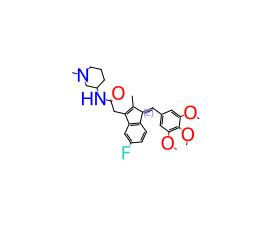 COc1cc(/C=C2/C(C)=C(CC(=O)NC3CCCN(C)C3)c3cc(F)ccc32)cc(OC)c1OC